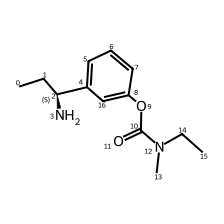 CC[C@H](N)c1cccc(OC(=O)N(C)CC)c1